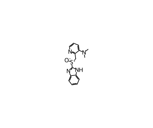 CN(C)c1cccnc1C[S+]([O-])c1nc2ccccc2[nH]1